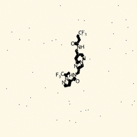 CC(n1nccc1C(=O)NCc1cn2ncc(CNC(=O)CCC(F)(F)F)cc2n1)C(F)(F)F